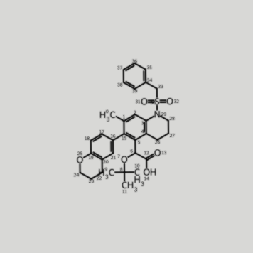 Cc1cc2c(c(C(OC(C)(C)C)C(=O)O)c1-c1ccc3c(c1)CCCO3)CCCN2S(=O)(=O)Cc1ccccc1